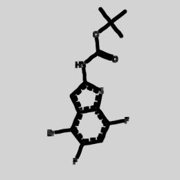 CC(C)(C)OC(=O)Nc1cc2c(Br)c(F)cc(F)c2s1